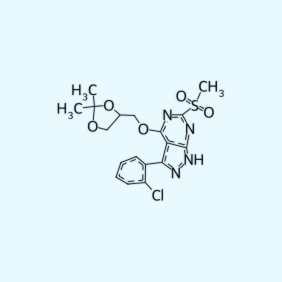 CC1(C)OCC(COc2nc(S(C)(=O)=O)nc3[nH]nc(-c4ccccc4Cl)c23)O1